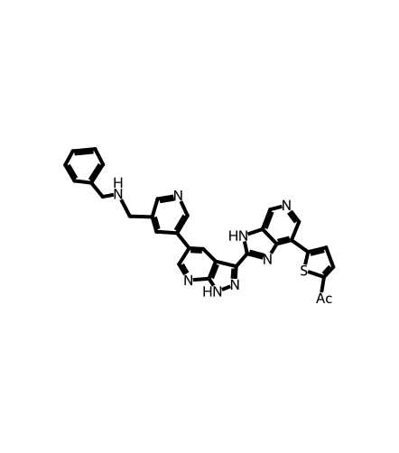 CC(=O)c1ccc(-c2cncc3[nH]c(-c4n[nH]c5ncc(-c6cncc(CNCc7ccccc7)c6)cc45)nc23)s1